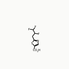 O=C(O)c1cnc(CC(F)C(F)F)s1